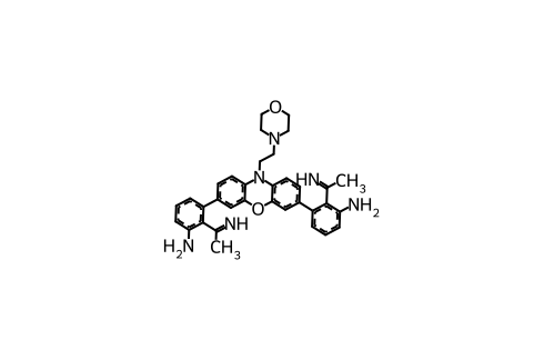 CC(=N)c1c(N)cccc1-c1ccc2c(c1)Oc1cc(-c3cccc(N)c3C(C)=N)ccc1N2CCN1CCOCC1